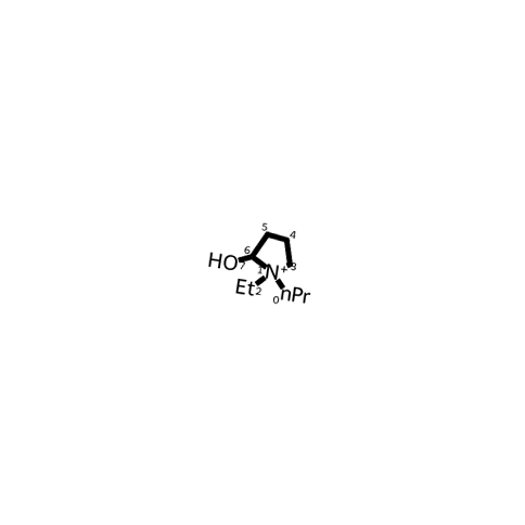 CCC[N+]1(CC)CCCC1O